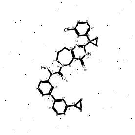 O=C(C(O)c1cccc(-c2cccc(C3CC3)c2)c1)N1CCCc2nc(C3(c4cccc(Cl)c4)CC3)[nH]c(=O)c2C1